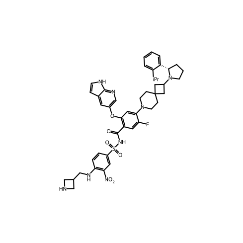 CC(C)c1ccccc1[C@@H]1CCCN1C1CC2(CCN(c3cc(Oc4cnc5[nH]ccc5c4)c(C(=O)NS(=O)(=O)c4ccc(NCC5CNC5)c([N+](=O)[O-])c4)cc3F)CC2)C1